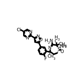 CC1(C)C(N)=N[C@](C)(c2cc(-c3cc(-c4ncc(Cl)cn4)no3)ccc2F)CC[S@]1(=N)=O